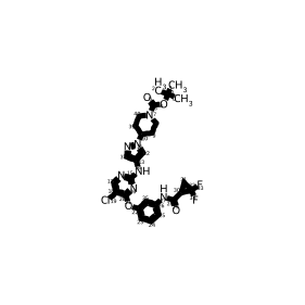 CC(C)(C)OC(=O)N1CCC(n2cc(Nc3ncc(Cl)c(Oc4cccc(NC(=O)C5CC5(F)F)c4)n3)cn2)CC1